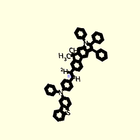 [2H]/C(=C(/[2H])c1ccc2c(c1)C(C)(C)c1cc3c(cc1-2)c(-c1ccccc1)c(-c1ccccc1)n3-c1ccccc1)c1ccc(N(c2ccccc2)c2ccc3sc4ccccc4c3c2)cc1